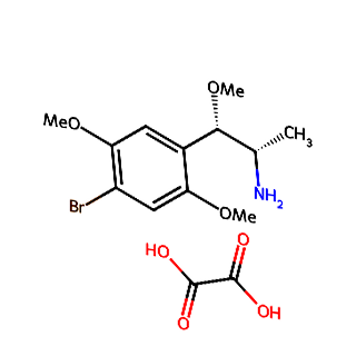 COc1cc([C@H](OC)[C@H](C)N)c(OC)cc1Br.O=C(O)C(=O)O